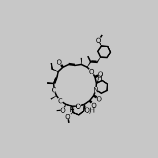 CC[C@@H]1/C=C(\C)C[C@H](C)C[C@H](OC)[C@H]2O[C@@](O)(C(=O)C(=O)N3CCCC[C@H]3C(=O)O[C@H](/C(C)=C/[C@@H]3CCC[C@H](OC)C3)[C@H](C)/C=C/C1=O)[C@H](C)C[C@@H]2OC